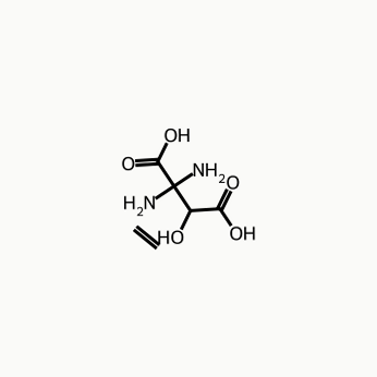 C=C.NC(N)(C(=O)O)C(O)C(=O)O